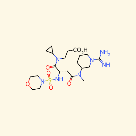 CN(C(=O)C[C@H](NS(=O)(=O)N1CCOCC1)C(=O)N(CCC(=O)O)C1CC1)[C@H]1CCCN(C(=N)N)C1